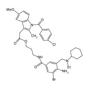 CCN(Cc1cc(C(=O)NCCCOC(=O)Cc2c(C)n(C(=O)c3ccc(Cl)cc3)c3ccc(OC)cc23)cc(Br)c1N)C1CCCCC1